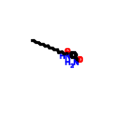 CCCCCCCCCCCCCCCC(=O)Nc1cccc(C(N)=O)c1